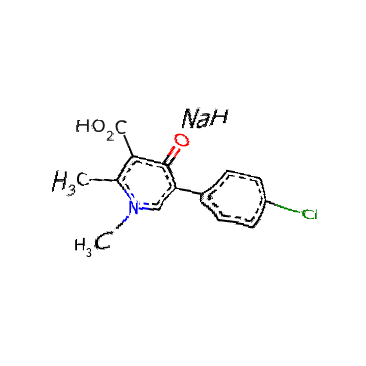 Cc1c(C(=O)O)c(=O)c(-c2ccc(Cl)cc2)cn1C.[NaH]